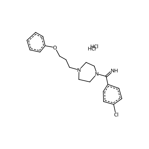 Cl.Cl.N=C(c1ccc(Cl)cc1)N1CCN(CCCOc2ccccc2)CC1